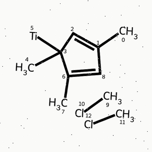 CC1=C[C](C)([Ti])C(C)=C1.CCl.CCl